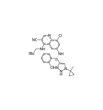 CC(C)(C)CNc1c(C#N)cnc2c(Cl)cc(N[C@H](C3=CN(C4(C)CC4)NN3)c3ccccc3Cl)cc12